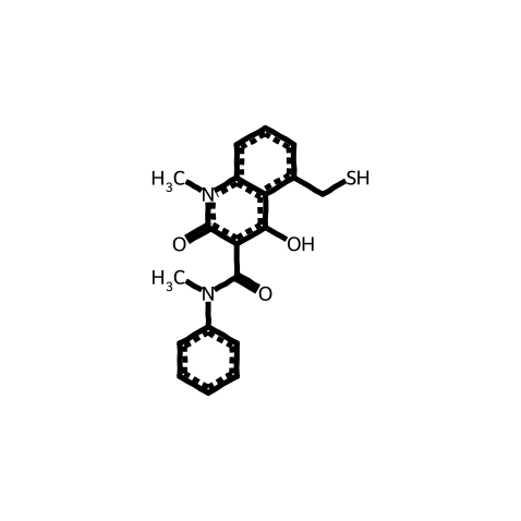 CN(C(=O)c1c(O)c2c(CS)cccc2n(C)c1=O)c1ccccc1